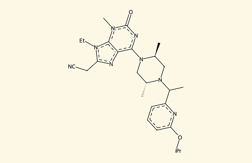 CCn1c(CC#N)nc2c(N3C[C@@H](C)N(C(C)c4cccc(OC(C)C)n4)C[C@@H]3C)nc(=O)n(C)c21